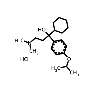 CC(C)Oc1ccc(C(O)(CCN(C)C)C2CCCCC2)cc1.Cl